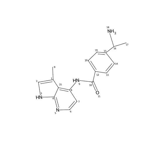 Cc1c[nH]c2nccc(NC(=O)c3ccc(C(C)N)cc3)c12